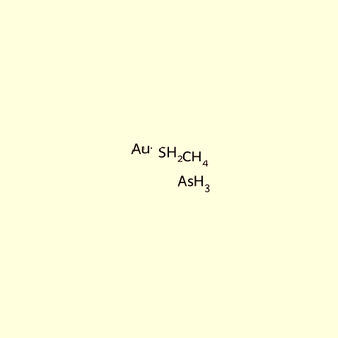 C.S.[AsH3].[Au]